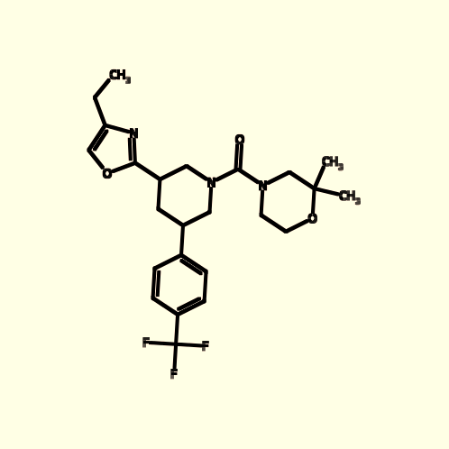 CCc1coc(C2CC(c3ccc(C(F)(F)F)cc3)CN(C(=O)N3CCOC(C)(C)C3)C2)n1